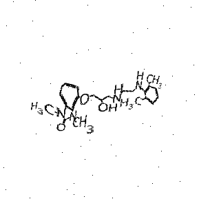 Cc1cccc(C)c1NCCNCC(O)COc1cccc2c1n(C)c(=O)n2C